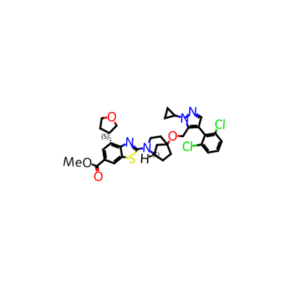 COC(=O)c1cc([C@@H]2CCOC2)c2nc(N3CCC4(OCc5c(-c6c(Cl)cccc6Cl)cnn5C5CC5)CC[C@H]3C4)sc2c1